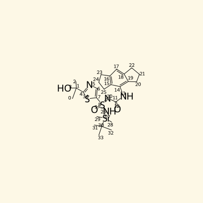 CC(C)(O)c1ncc(S(=O)(=NC(=O)Nc2c3c(cc4c2CCC4)CCC3)N[Si](C)(C)C(C)(C)C)s1